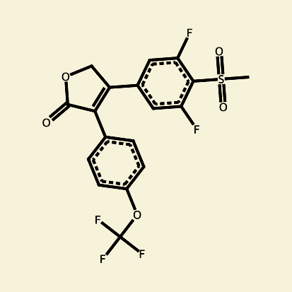 CS(=O)(=O)c1c(F)cc(C2=C(c3ccc(OC(F)(F)F)cc3)C(=O)OC2)cc1F